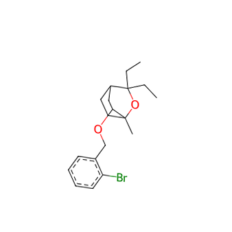 CCC1(CC)OC2(C)CCC1CC2OCc1ccccc1Br